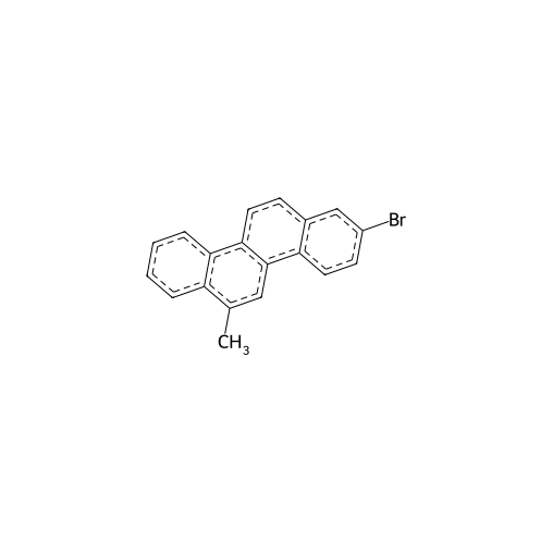 Cc1cc2c3ccc(Br)cc3ccc2c2ccccc12